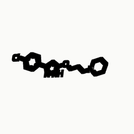 Clc1ccc(-c2cc(OCCCN3CCCCC3)[nH]n2)cc1